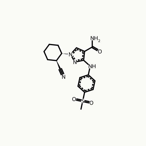 CS(=O)(=O)c1ccc(Nc2nn([C@H]3CCCC[C@@H]3C#N)cc2C(N)=O)cc1